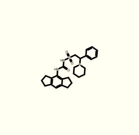 O=C(Nc1c2c(cc3c1CCC3)CCC2)NS(=O)(=O)CC(c1ccccc1)N1CCCCC1